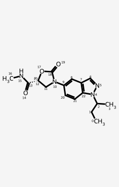 CCC(C)n1ncc2cc(N3C[C@H](C(=O)NC)OC3=O)ccc21